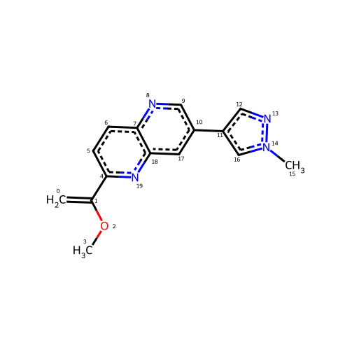 C=C(OC)c1ccc2ncc(-c3cnn(C)c3)cc2n1